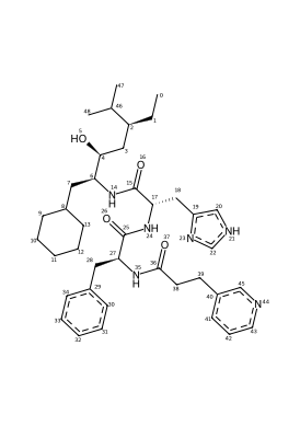 CC[C@@H](C[C@H](O)[C@H](CC1CCCCC1)NC(=O)[C@H](Cc1c[nH]cn1)NC(=O)[C@H](Cc1ccccc1)NC(=O)CCc1cccnc1)C(C)C